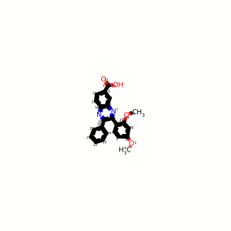 COc1ccc(-c2nc3cc(C(=O)O)ccc3nc2-c2ccccc2)c(OC)c1